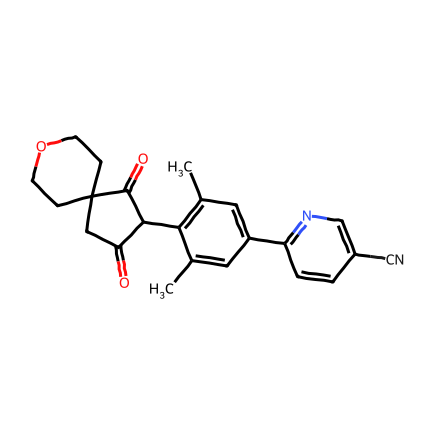 Cc1cc(-c2ccc(C#N)cn2)cc(C)c1C1C(=O)CC2(CCOCC2)C1=O